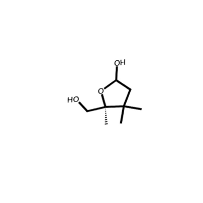 CC1(C)CC(O)O[C@]1(C)CO